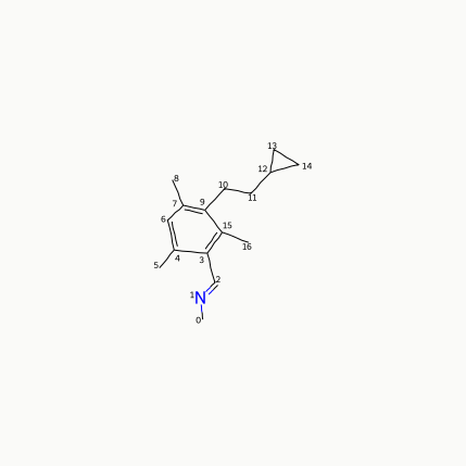 C/N=C/c1c(C)cc(C)c(CCC2CC2)c1C